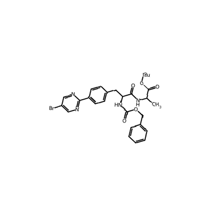 CC(NC(=O)C(Cc1ccc(-c2ncc(Br)cn2)cc1)NC(=O)OCc1ccccc1)C(=O)OC(C)(C)C